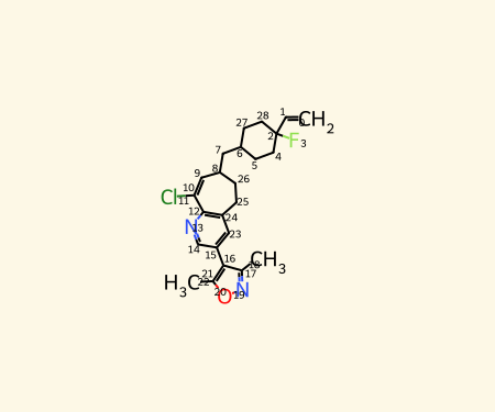 C=CC1(F)CCC(CC2C=C(Cl)c3ncc(-c4c(C)noc4C)cc3CC2)CC1